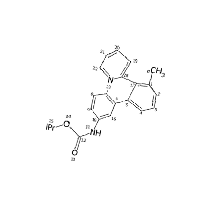 Cc1cccc(-c2cccc(NC(=O)OC(C)C)c2)c1-c1ccccn1